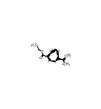 C=C(C)c1ccc(C(=O)OCC)cc1